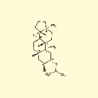 CC(C)O[C@H]1C[C@@]2(C)[C@@H](CC[C@H]3[C@@H]4CCC[C@@]4(C)CC[C@@H]32)C[C@@H]1O